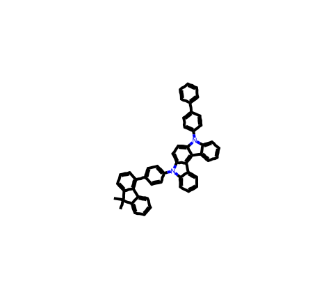 CC1(C)c2ccccc2-c2c(-c3ccc(-n4c5ccccc5c5c6c7ccccc7n(-c7ccc(-c8ccccc8)cc7)c6ccc54)cc3)cccc21